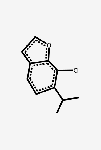 CC(C)c1ccc2ccoc2c1Cl